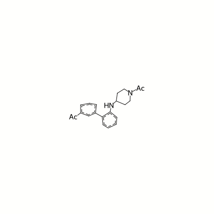 CC(=O)c1cccc(-c2ccccc2NC2CCN(C(C)=O)CC2)c1